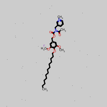 CCCCCCCCCCCCCCOc1c(OC)cc(COC(=O)N(Cc2ccc[n+](C)c2)C(C)=O)cc1OC.[I-]